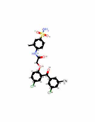 Cc1cc(S(N)(=O)=O)ccc1NC(=O)COc1ccc(Cl)cc1C(=O)c1cc(Cl)cc(C#N)c1